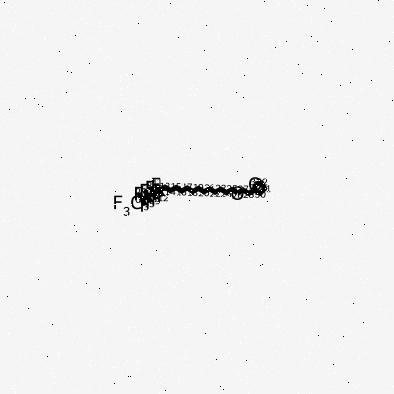 FC(F)(F)C(F)(F)C(F)(F)C(F)(F)C(F)(F)CCCCCCCCCCCCCOCCC1CCCO1